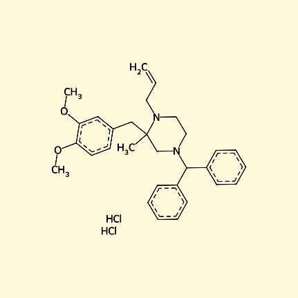 C=CCN1CCN(C(c2ccccc2)c2ccccc2)CC1(C)Cc1ccc(OC)c(OC)c1.Cl.Cl